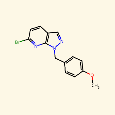 COc1ccc(Cn2ncc3ccc(Br)nc32)cc1